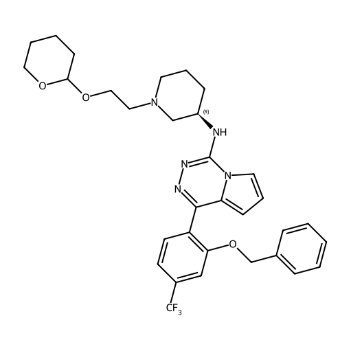 FC(F)(F)c1ccc(-c2nnc(N[C@@H]3CCCN(CCOC4CCCCO4)C3)n3cccc23)c(OCc2ccccc2)c1